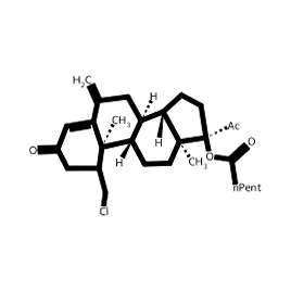 C=C1C[C@H]2[C@@H]3CC[C@](OC(=O)CCCCC)(C(C)=O)[C@@]3(C)CC[C@@H]2[C@]2(C)C1=CC(=O)CC2CCl